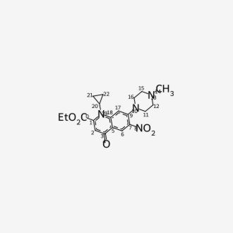 CCOC(=O)c1cc(=O)c2cc([N+](=O)[O-])c(N3CCN(C)CC3)cc2n1C1CC1